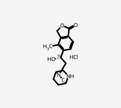 Cc1c([C@@H](O)CN2CC3CCC2CN3)ccc2c1COC2=O.Cl